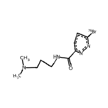 CN(C)CCCNC(=O)c1ccc([76Br])nn1